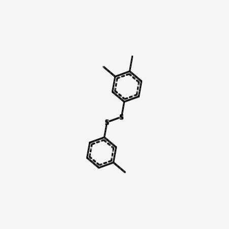 Cc1cccc(SSc2ccc(C)c(C)c2)c1